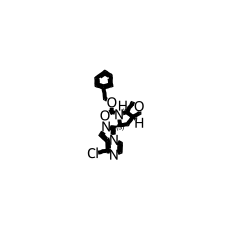 O=C(OCc1ccccc1)N1[C@@H]2COC[C@@H]2C[C@H]1c1ncc2c(Cl)nccn12